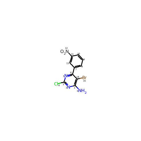 Nc1nc(Cl)nc(-c2cccc([N+](=O)[O-])c2)c1Br